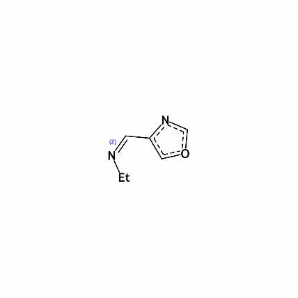 CC/N=C\c1cocn1